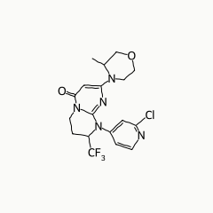 CC1COCCN1c1cc(=O)n2c(n1)N(c1ccnc(Cl)c1)C(C(F)(F)F)CC2